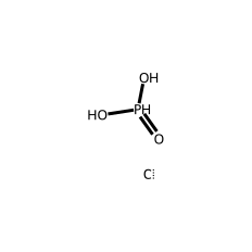 O=[PH](O)O.[C]